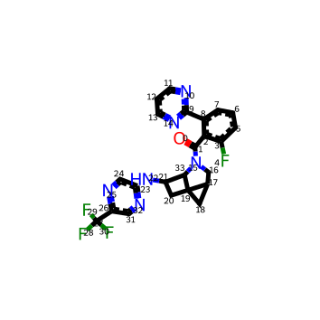 O=C(c1c(F)cccc1-c1ncccn1)N1CC2CC23CC(Nc2cnc(C(F)(F)F)cn2)C13